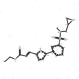 CCOC(=O)/C=C/c1ccc(-c2cccc(S(=O)(=O)N(C)CC3CO3)c2)s1